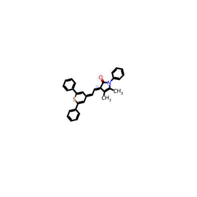 CC1=C(C)N(c2ccccc2)C(=O)/C1=C/C=C1C=C(c2ccccc2)SC(c2ccccc2)=C1